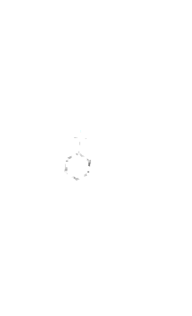 COCOc1cccc(F)c1[B-](F)(F)F.[K+]